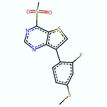 CSc1ccc(-c2csc3c(S(C)(=O)=O)ncnc23)c(F)c1